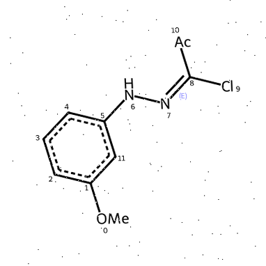 COc1cccc(N/N=C(/Cl)C(C)=O)c1